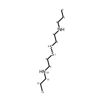 CCCNCCSSCCNCCC